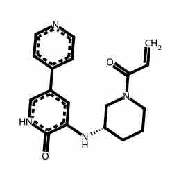 C=CC(=O)N1CCC[C@H](Nc2cc(-c3ccncc3)c[nH]c2=O)C1